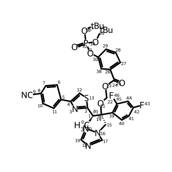 C[C@@H](c1nc(-c2ccc(C#N)cc2)cs1)[C@@](Cn1cncn1)(OCOC(=O)c1cccc(OP(=O)(OC(C)(C)C)OC(C)(C)C)c1)c1ccc(F)cc1F